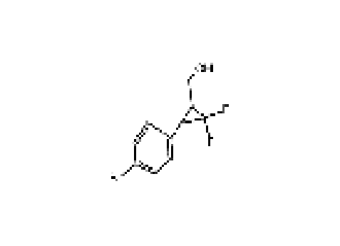 OCC1C(c2ccc(Br)cc2)C1(F)F